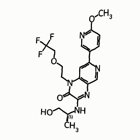 COc1ccc(-c2cc3c(cn2)nc(N[C@@H](C)CO)c(=O)n3CCOCC(F)(F)F)cn1